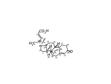 CC(C=CC(=O)O)[C@H]1CC[C@H]2[C@@H]3CCC4=CC(=O)CC[C@]4(C)[C@H]3CC[C@]12C